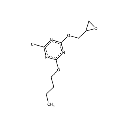 CCCCOc1nc(Cl)nc(OCC2CO2)n1